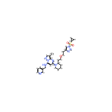 CCc1cnn2c(NCc3cccnc3)cc(N3CCCCC3CCOCCc3cn(S(=O)(=O)C4CC4)nn3)nc12